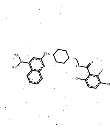 Cc1ccc(Cl)c(C(=O)NC[C@H]2CC[C@@H](Nc3cc(N(C)C)c4ccccc4n3)CC2)c1F